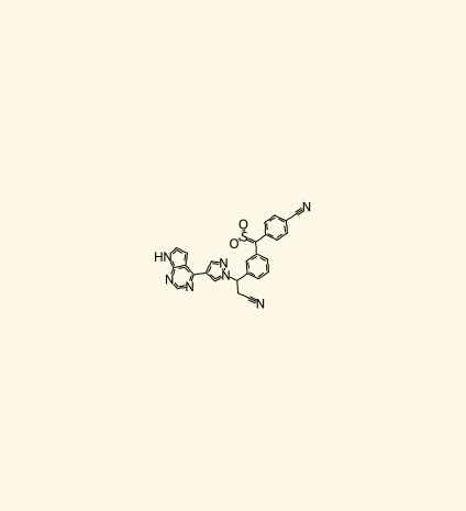 N#CCC(c1cccc(C(c2ccc(C#N)cc2)=S(=O)=O)c1)n1cc(-c2ncnc3[nH]ccc23)cn1